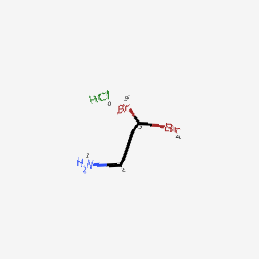 Cl.NCC(Br)Br